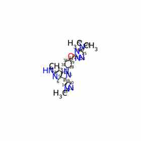 CNc1cc2c(cn1)c(-c1cnn(C)c1)nn2C1CCC(Oc2nncc(N(C)C)n2)CC1